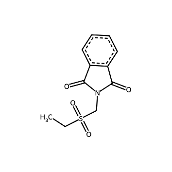 CCS(=O)(=O)CN1C(=O)c2ccccc2C1=O